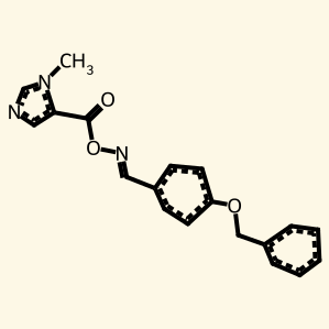 Cn1cncc1C(=O)ON=Cc1ccc(OCc2ccccc2)cc1